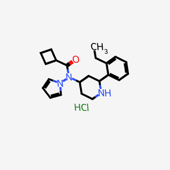 CCc1ccccc1C1CC(N(C(=O)C2CCC2)n2cccc2)CCN1.Cl